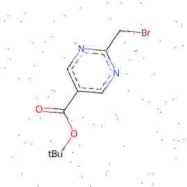 CC(C)(C)OC(=O)c1cnc(CBr)nc1